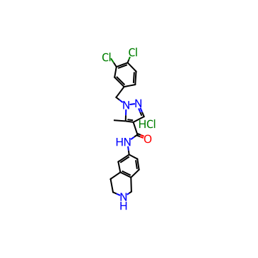 Cc1c(C(=O)Nc2ccc3c(c2)CCNC3)cnn1Cc1ccc(Cl)c(Cl)c1.Cl